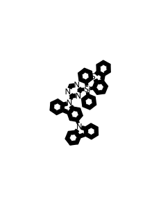 c1ccc([Si](c2ccccc2)(c2ncnc(-n3c4ccccc4c4cc(-n5c6ccccc6c6ccccc65)ccc43)n2)c2cccc3c2sc2ccccc23)cc1